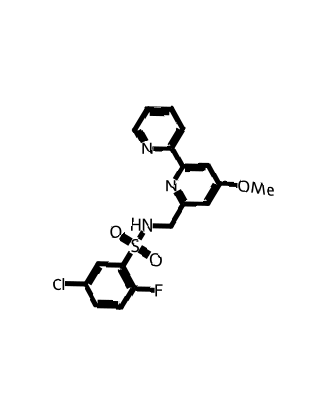 COc1cc(CNS(=O)(=O)c2cc(Cl)ccc2F)nc(-c2ccccn2)c1